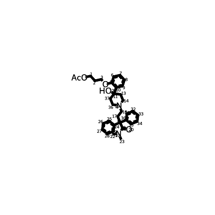 CC(=O)OCCCOc1ccccc1C1(O)CCN(CCC(C(=O)N(C)C)(c2ccccc2)c2ccccc2)CC1